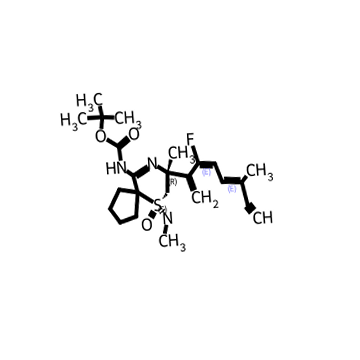 C#C/C(C)=C/C=C(/F)C(=C)[C@]1(C)C[S@@](=O)(=NC)C2(CCCC2)C(NC(=O)OC(C)(C)C)=N1